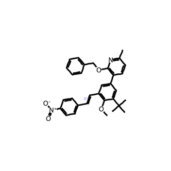 COc1c(/C=C/c2ccc([N+](=O)[O-])cc2)cc(-c2ccc(C)nc2OCc2ccccc2)cc1C(C)(C)C